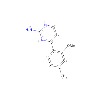 COc1cc(C)ccc1-c1ccnc(N)n1